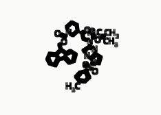 Cc1ccc(S(=O)(=O)n2ccc3nc(N(CC(=O)[C@@H]4CCCN(C(=O)OCC5c6ccccc6-c6ccccc65)C4)C(=O)OC(C)(C)C)cnc32)cc1